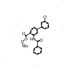 CC(C)(C)OOC(=O)c1ccc(-c2cccc(Cl)c2)cc1NC(=O)c1ccccc1